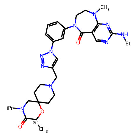 CCNc1ncc2c(n1)N(C)CCN(c1cccc(-n3cc(CN4CCC5(CC4)CN(C(C)C)C(=O)[C@@H](C)O5)nn3)c1)C2=O